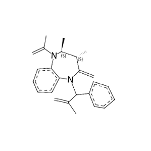 C=C(C)C(c1ccccc1)N1C(=C)[C@@H](C)[C@H](C)N(C(=C)C)c2ccccc21